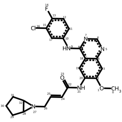 COc1cc2ncnc(Nc3ccc(F)c(Cl)c3)c2cc1NC(=O)/C=C/CN1C2CCCC21